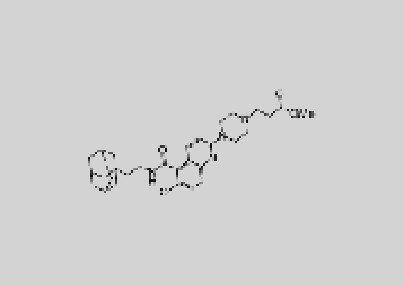 COC(=O)CCN1CCN(c2ccc3c(C(=O)NCCC45CC6CC(CC(C6)C4)C5)c(Cl)ccc3n2)CC1